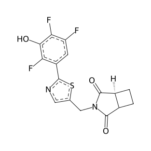 O=C1C2CC[C@@H]2C(=O)N1Cc1cnc(-c2cc(F)c(F)c(O)c2F)s1